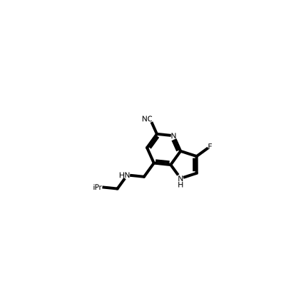 CC(C)CNCc1cc(C#N)nc2c(F)c[nH]c12